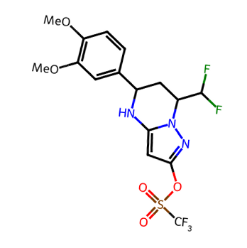 COc1ccc(C2CC(C(F)F)n3nc(OS(=O)(=O)C(F)(F)F)cc3N2)cc1OC